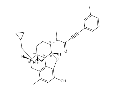 Cc1cccc(C#CC(=O)N(C)[C@H]2CC[C@H]3[C@H]4Cc5c(C)cc(O)c6c5[C@@]3(CCN4CC3CC3)[C@H]2O6)c1